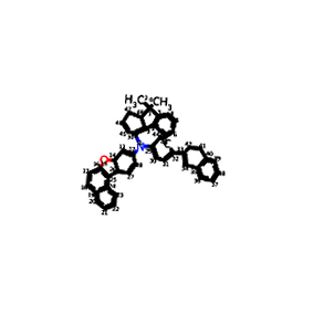 CC1(C)c2ccccc2C2=C(N(C3=CC4Oc5ccc6ccccc6c5C4C=C3)C3=CC=C(C4=Cc5ccccc5CC4)CC3)C=CCC21